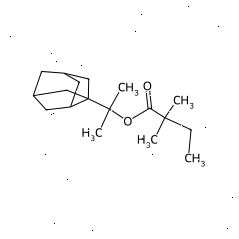 CCC(C)(C)C(=O)OC(C)(C)C12CC3CC(CC1C3)C2